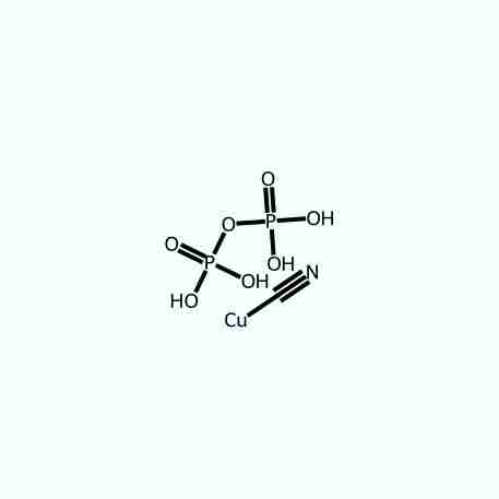 N#[C][Cu].O=P(O)(O)OP(=O)(O)O